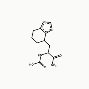 NC(=O)C(CC1CCCc2scnc21)NC(=O)O